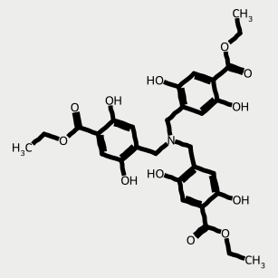 CCOC(=O)c1cc(O)c(CN(Cc2cc(O)c(C(=O)OCC)cc2O)Cc2cc(O)c(C(=O)OCC)cc2O)cc1O